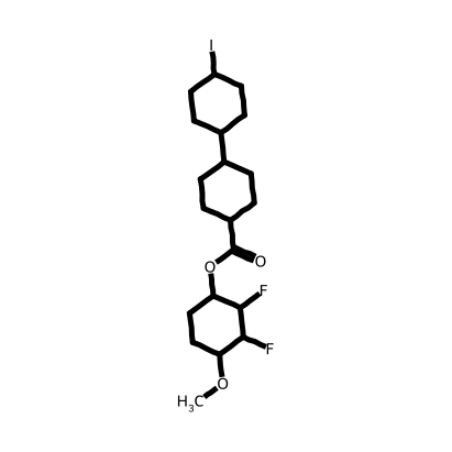 COC1CCC(OC(=O)C2CCC(C3CCC(I)CC3)CC2)C(F)C1F